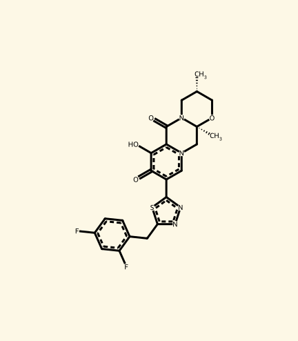 C[C@@H]1CO[C@@]2(C)Cn3cc(-c4nnc(Cc5ccc(F)cc5F)s4)c(=O)c(O)c3C(=O)N2C1